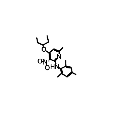 CCC(CC)Oc1cc(C)nc(Nc2c(C)cc(C)cc2C)c1[N+](=O)[O-]